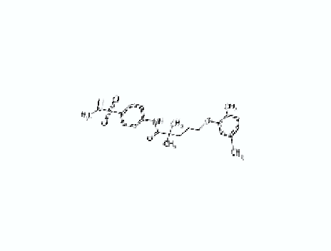 CNS(=O)(=O)c1ccc(NC(=O)C(C)(C)CCCOc2cc(C)ccc2C)cc1